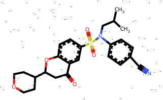 CC(C)CN(c1ccc(C#N)cc1)S(=O)(=O)c1ccc2c(c1)C(=O)CC(C1CCOCC1)O2